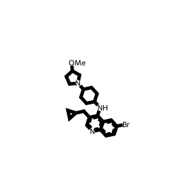 COC1CCN(C2CCC(Nc3c([C]C4CC4)cnc4ccc(Br)cc34)CC2)C1